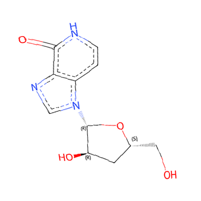 O=c1[nH]ccc2c1ncn2[C@@H]1O[C@H](CO)C[C@H]1O